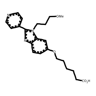 COCCCn1c(-c2ccncc2)nc2ccc(OCCCCCC(=O)O)cc21